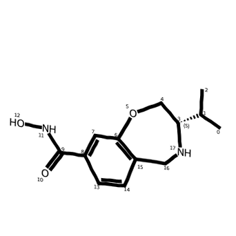 CC(C)[C@H]1COc2cc(C(=O)NO)ccc2CN1